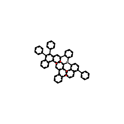 c1ccc(-c2ccc(N(c3ccccc3-c3ccc4c(c3)c(-c3ccccc3)c(-c3ccccc3)c3ccccc34)c3cccc4c3ccc3ccccc34)c3ccccc23)cc1